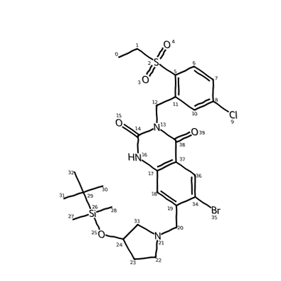 CCS(=O)(=O)c1ccc(Cl)cc1Cn1c(=O)[nH]c2cc(CN3CCC(O[Si](C)(C)C(C)(C)C)C3)c(Br)cc2c1=O